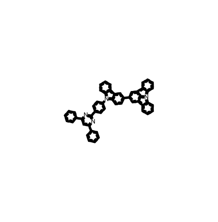 c1ccc(-c2cc(-c3ccccc3)nc(-c3ccc(-n4c5ccccc5c5cc(-c6cc7c8ccccc8n8c9ccccc9c(c6)c78)ccc54)cc3)n2)cc1